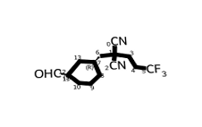 N#CC(C#N)(CCC(F)(F)F)C[C@@H]1CCC[C@H](C=O)C1